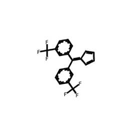 FC(F)(F)c1cccc(C(=C2[C]=CC=C2)c2cccc(C(F)(F)F)c2)c1